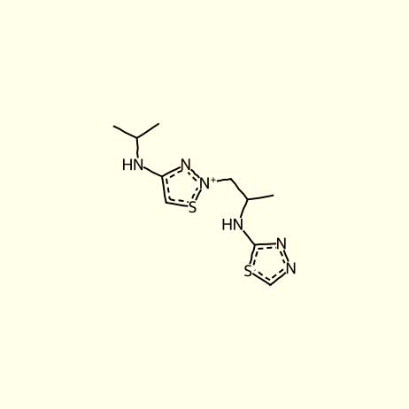 CC(C)Nc1cs[n+](CC(C)Nc2nncs2)n1